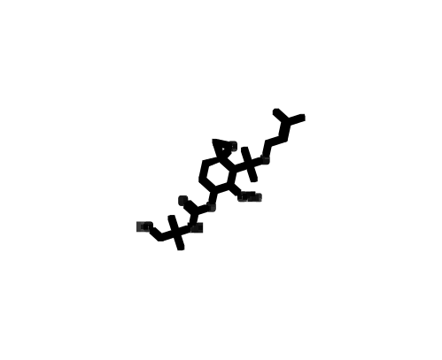 COC1C(OC(=O)NC(C)(C)CO)CC[C@]2(CO2)C1C(C)(C)OCC=C(C)C